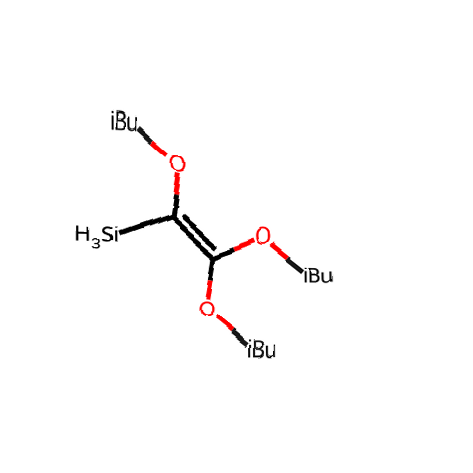 CCC(C)OC([SiH3])=C(OC(C)CC)OC(C)CC